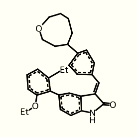 CCOc1cccc(CC)c1-c1ccc2c(c1)/C(=C\c1ccc(C3CCCCOCC3)cc1)C(=O)N2